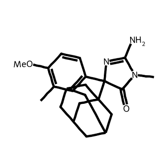 COc1ccc(C2(C34CC5CC(CC(C5)C3)C4)N=C(N)N(C)C2=O)cc1C